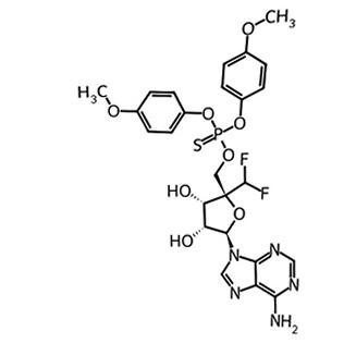 COc1ccc(OP(=S)(OC[C@@]2(C(F)F)O[C@@H](n3cnc4c(N)ncnc43)[C@H](O)[C@@H]2O)Oc2ccc(OC)cc2)cc1